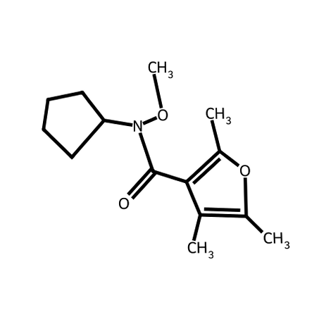 CON(C(=O)c1c(C)oc(C)c1C)C1CCCC1